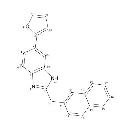 c1coc(-c2cnc3nc(Cc4ccc5ccccc5c4)[nH]c3c2)c1